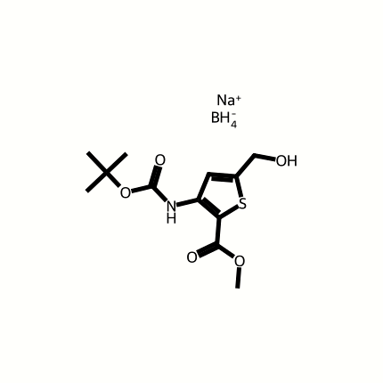 COC(=O)c1sc(CO)cc1NC(=O)OC(C)(C)C.[BH4-].[Na+]